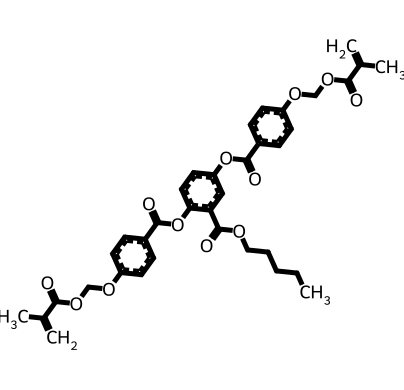 C=C(C)C(=O)OCOc1ccc(C(=O)Oc2ccc(OC(=O)c3ccc(OCOC(=O)C(=C)C)cc3)c(C(=O)OCCCCC)c2)cc1